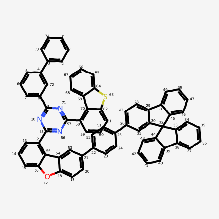 c1ccc(-c2cccc(-c3nc(-c4cccc5oc6ccc(-c7ccc(-c8ccc9c(c8)C8(c%10ccccc%10-c%10ccccc%108)c8ccccc8-9)cc7)cc6c45)nc(-c4cccc5sc6ccccc6c45)n3)c2)cc1